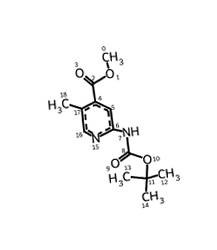 COC(=O)c1cc(NC(=O)OC(C)(C)C)ncc1C